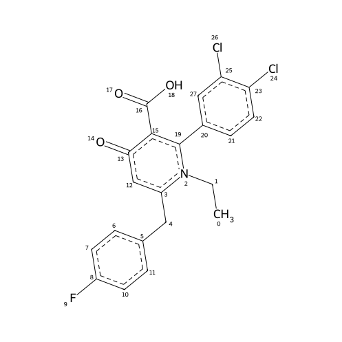 CCn1c(Cc2ccc(F)cc2)cc(=O)c(C(=O)O)c1-c1ccc(Cl)c(Cl)c1